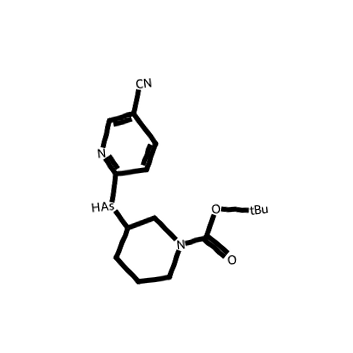 CC(C)(C)OC(=O)N1CCCC([AsH]c2ccc(C#N)cn2)C1